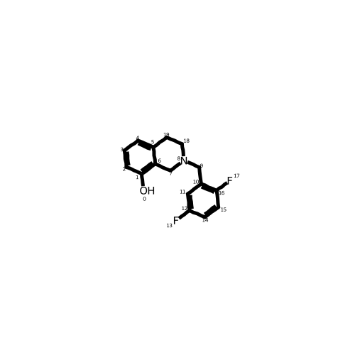 Oc1cccc2c1CN(Cc1cc(F)ccc1F)CC2